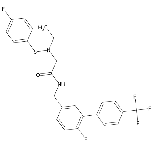 CCN(CC(=O)NCc1ccc(F)c(-c2ccc(C(F)(F)F)cc2)c1)Sc1ccc(F)cc1